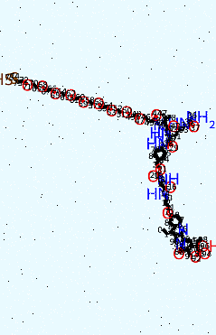 CCc1c2c(nc3ccc(OCCCNC(=O)CNC(=O)OCc4ccc(NC(=O)[C@H](CCCNC(N)=O)NC(=O)[C@@H](NC(=O)CCOCCOCCOCCOCCOCCOCCOCCOCCOCCSS)C(C)C)cc4)cc13)-c1cc3c(c(=O)n1C2)COC(=O)[C@]3(O)CC